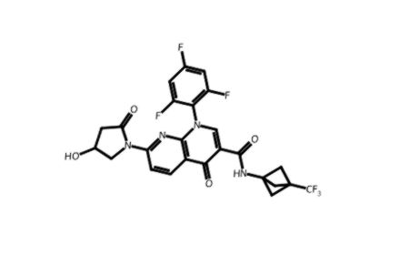 O=C(NC12CC(C(F)(F)F)(C1)C2)c1cn(-c2c(F)cc(F)cc2F)c2nc(N3CC(O)CC3=O)ccc2c1=O